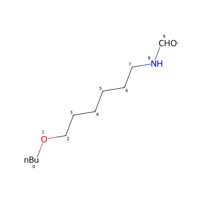 CCCCOCCCCCCN[C]=O